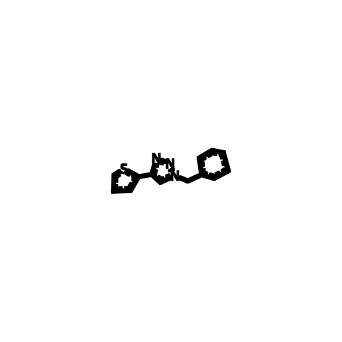 c1ccc(Cn2cc(-c3cccs3)nn2)cc1